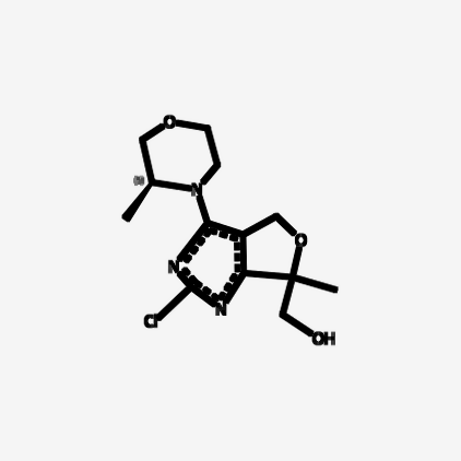 C[C@H]1COCCN1c1nc(Cl)nc2c1COC2(C)CO